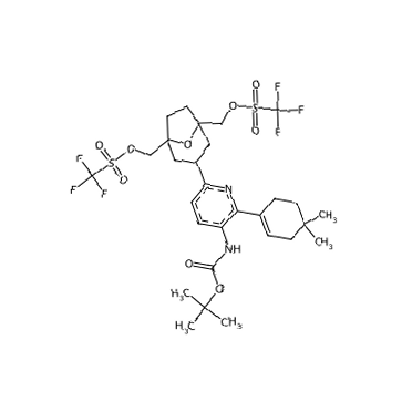 CC1(C)CC=C(c2nc(C3CC4(COS(=O)(=O)C(F)(F)F)CCC(COS(=O)(=O)C(F)(F)F)(C3)O4)ccc2NC(=O)OC(C)(C)C)CC1